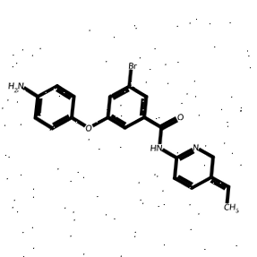 C/C=C1\C=CC(NC(=O)c2cc(Br)cc(Oc3ccc(N)cc3)c2)=NC1